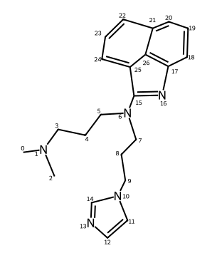 CN(C)CCCN(CCCn1ccnc1)C1=Nc2cccc3cccc1c23